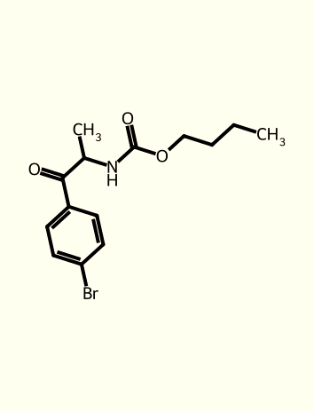 CCCCOC(=O)NC(C)C(=O)c1ccc(Br)cc1